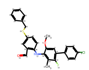 COc1cc(-c2ccc(Cl)cc2)c(F)c(C)c1Nc1ccc(SCc2ccccc2)cc1C=O